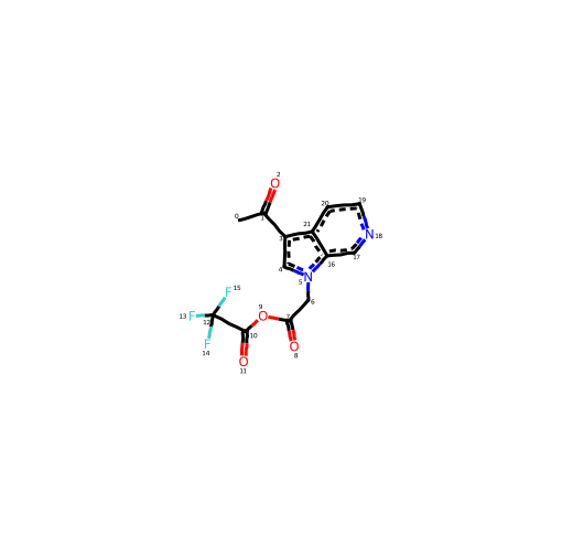 CC(=O)c1cn(CC(=O)OC(=O)C(F)(F)F)c2cnccc12